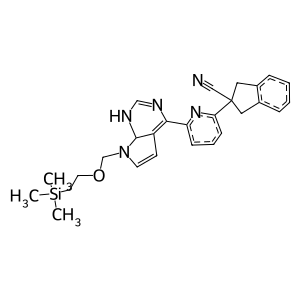 C[Si](C)(C)CCOCN1C=CC2=C(c3cccc(C4(C#N)Cc5ccccc5C4)n3)N=CNC21